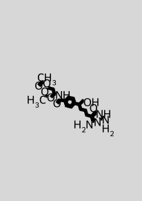 CC(=O)OCCC(NC(=O)c1ccc(C(CO)CCCc2c(N)nc(N)[nH]c2=O)cc1)OC(C)=O